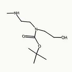 CNCCN(CCO)C(=O)OC(C)(C)C